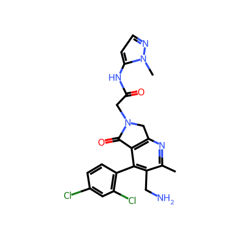 Cc1nc2c(c(-c3ccc(Cl)cc3Cl)c1CN)C(=O)N(CC(=O)Nc1ccnn1C)C2